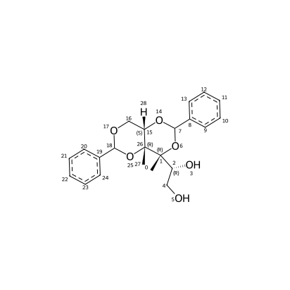 C[C@]1([C@H](O)CO)OC(c2ccccc2)O[C@H]2COC(c3ccccc3)O[C@]21C